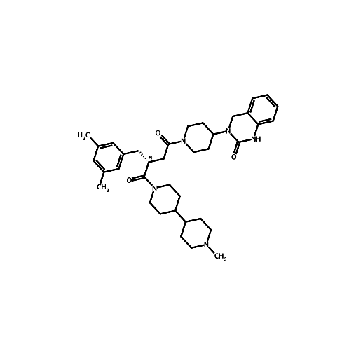 Cc1cc(C)cc(C[C@H](CC(=O)N2CCC(N3Cc4ccccc4NC3=O)CC2)C(=O)N2CCC(C3CCN(C)CC3)CC2)c1